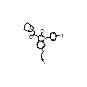 Cc1c(C(=O)CN2C3CCCC2CC3)c2ccc(CCC#N)cc2n1-c1ccc(Cl)cc1